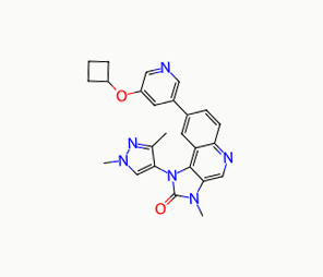 Cc1nn(C)cc1-n1c(=O)n(C)c2cnc3ccc(-c4cncc(OC5CCC5)c4)cc3c21